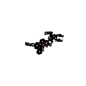 CCCCOC[C@@]1(COC)O[C@@H](n2ccc(NC(c3ccccc3)(c3ccccc3)c3ccc(OC)cc3)nc2=O)[C@H](F)[C@@H]1OCCCC